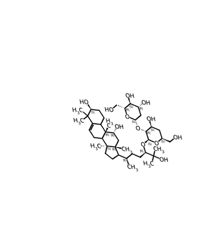 C[C@H](CC[C@@H](O[C@@H]1O[C@H](CO)C[C@H](O)[C@H]1O[C@H]1C[C@@H](O)[C@H](O)[C@@H](CO)O1)C(C)(C)O)C1CC[C@@]2(C)C3CC=C4C(CC[C@H](O)C4(C)C)[C@]3(C)[C@H](O)C[C@]12C